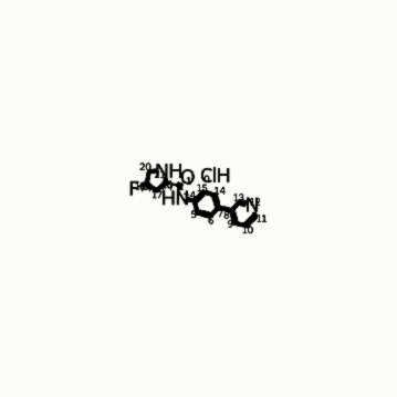 Cl.O=C(Nc1ccc(-c2cccnc2)cc1)[C@H]1C[C@H](F)CN1